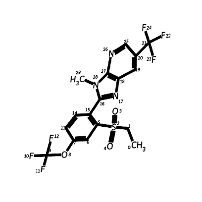 CCS(=O)(=O)c1cc(OC(F)(F)F)ccc1-c1nc2cc(C(F)(F)F)cnc2n1C